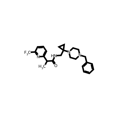 CC(C(=O)NCC1(N2CCN(Cc3ccccc3)CC2)CC1)c1cccc(C(F)(F)F)n1